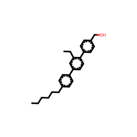 CCCCCCc1ccc(-c2ccc(-c3ccc(CO)cc3)c(CC)c2)cc1